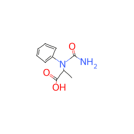 CC(C(=O)O)N(C(N)=O)c1ccccc1